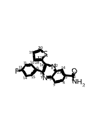 NC(=O)c1ccc2nc(-c3ccc(F)cc3)c(-c3cccs3)nc2c1